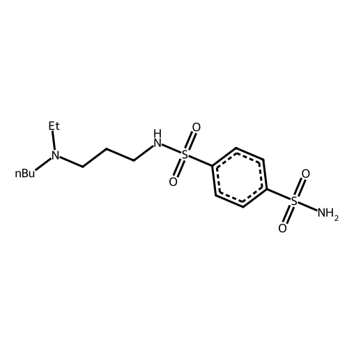 CCCCN(CC)CCCNS(=O)(=O)c1ccc(S(N)(=O)=O)cc1